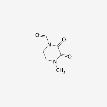 CN1CCN(C=O)C(=O)C1=O